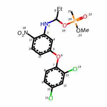 CCC(Nc1cc(Oc2ccc(Cl)cc2Cl)ccc1[N+](=O)[O-])OP(C)(=O)OC